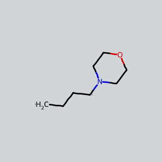 [CH2]CC[CH]N1CCOCC1